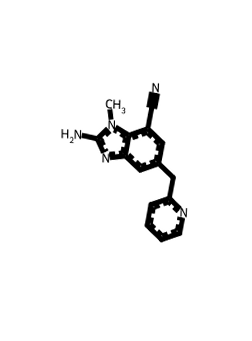 Cn1c(N)nc2cc(Cc3ccccn3)cc(C#N)c21